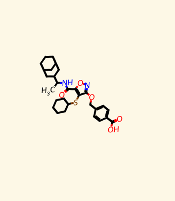 CC(NC(=O)c1onc(OCc2ccc(C(=O)O)cc2)c1SC1CCCCC1)C1CC2CCCC(C2)C1